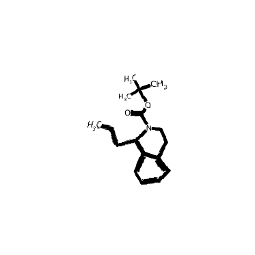 CCCC1c2ccccc2CCN1C(=O)OC(C)(C)C